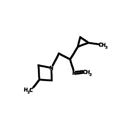 C=NC(CN1CC(C)C1)C1CC1C